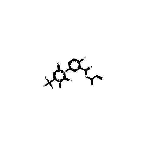 C=CC(C)OC(=O)c1cc(-n2c(=O)cc(C(F)(F)F)n(C)c2=O)ccc1Cl